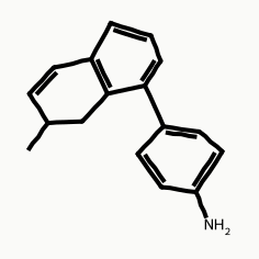 CC1C=Cc2cccc(-c3ccc(N)cc3)c2C1